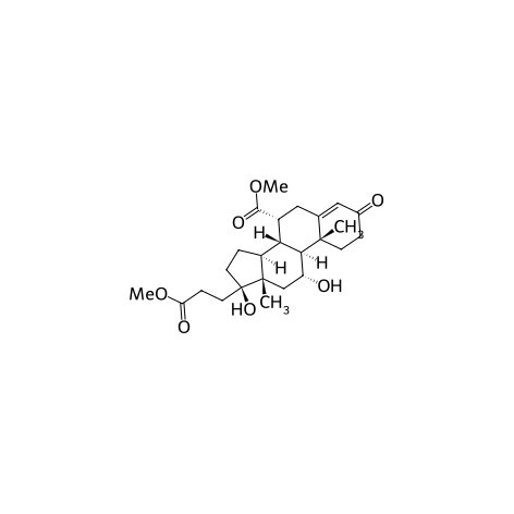 COC(=O)CC[C@]1(O)CC[C@H]2[C@H]3[C@H]([C@H](O)C[C@@]21C)[C@@]1(C)CCC(=O)C=C1C[C@H]3C(=O)OC